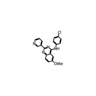 COc1ccc2nc(-c3cccnc3)nc(Nc3ccc(Cl)cc3)c2c1